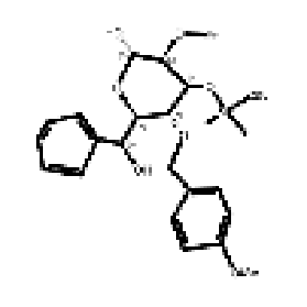 CCO[C@H]1[C@@H](O[Si](C)(C)C(C)(C)C)[C@H](OCc2ccc(OC)cc2)[C@@H]([C@@H](O)c2ccccc2)O[C@@H]1O